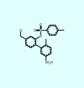 Cc1ccc(S(=O)(=O)Oc2cc(CCl)ccc2-c2cc(S(=O)(=O)O)ccc2C)cc1